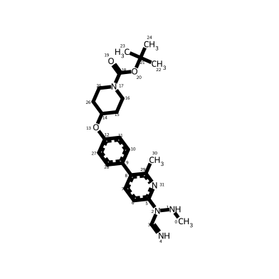 CNN(C=N)c1ccc(-c2ccc(OC3CCN(C(=O)OC(C)(C)C)CC3)cc2)c(C)n1